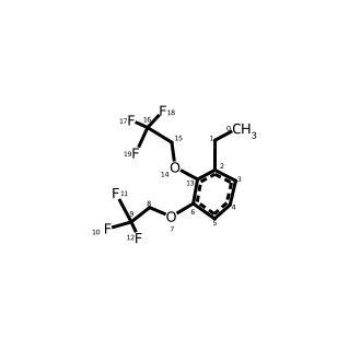 CCc1cccc(OCC(F)(F)F)c1OCC(F)(F)F